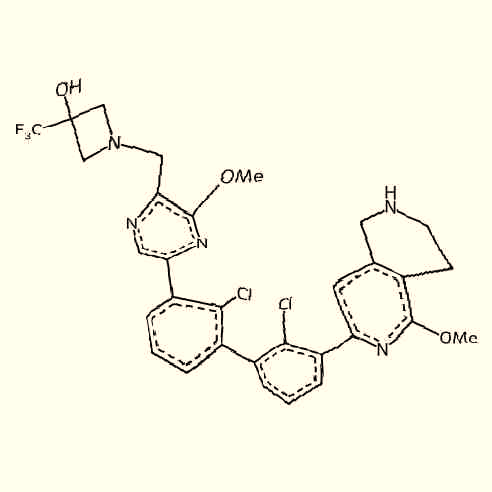 COc1nc(-c2cccc(-c3cccc(-c4cc5c(c(OC)n4)CCNC5)c3Cl)c2Cl)cnc1CN1CC(O)(C(F)(F)F)C1